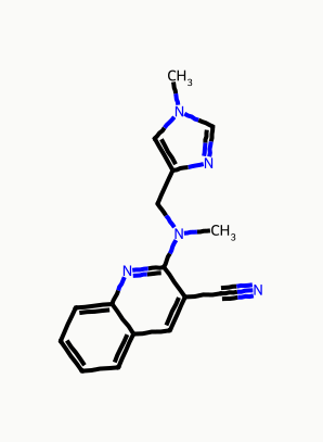 CN(Cc1cn(C)cn1)c1nc2ccccc2cc1C#N